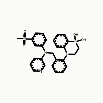 CS(=O)(=O)c1cccc(N(Cc2ccccc2N2CCS(O)(O)c3ccccc32)c2cccnc2)c1